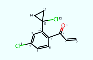 C=CC(=O)c1ccc(Cl)cc1C1(Cl)CC1